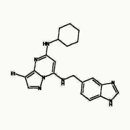 CCc1cnn2c(NCc3ccc4[nH]cnc4c3)cc(NC3CCCCC3)nc12